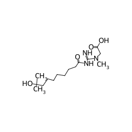 CN(CC(=O)O)C(=N)NC(=O)CCCCCCCC(C)(C)O